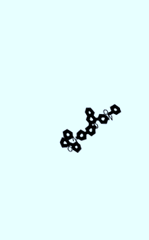 c1ccc(-c2nc3ccc(-c4c5ccccc5cc5c4oc4ccc(-c6ccc(N(c7ccccc7)c7cccc8oc9ccccc9c78)cc6)cc45)cc3o2)cc1